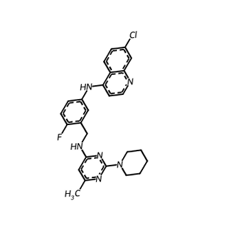 Cc1cc(NCc2cc(Nc3ccnc4cc(Cl)ccc34)ccc2F)nc(N2CCCCC2)n1